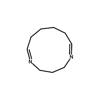 C1=NCCCN=CCCCC1